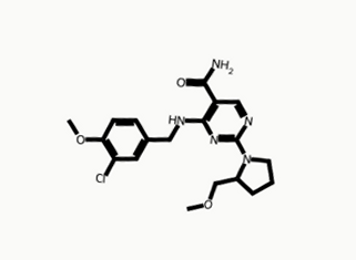 COCC1CCCN1c1ncc(C(N)=O)c(NCc2ccc(OC)c(Cl)c2)n1